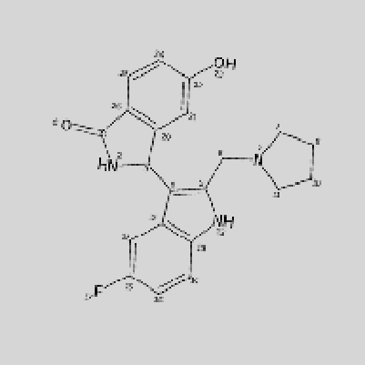 O=C1NC(c2c(CN3CCCC3)[nH]c3ccc(F)cc23)c2cc(O)ccc21